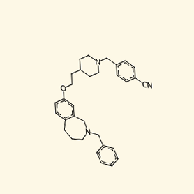 N#Cc1ccc(CN2CCC(CCOc3ccc4c(c3)CN(Cc3ccccc3)CCC4)CC2)cc1